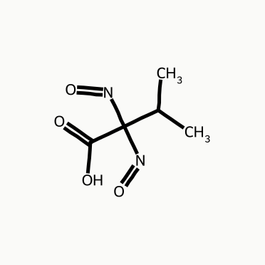 CC(C)C(N=O)(N=O)C(=O)O